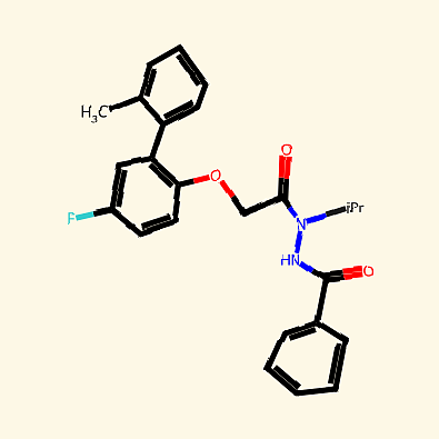 Cc1ccccc1-c1cc(F)ccc1OCC(=O)N(NC(=O)c1ccccc1)C(C)C